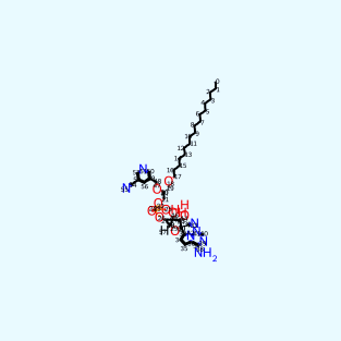 CCCCCCCCCCCCCCCCCCOC[C@H](COP(=O)(O)OC1[C@H]2O[C@@](C#N)(c3ccc4c(N)ncnn34)[C@H](O)[C@@]12O)OCc1cncc(C#N)c1